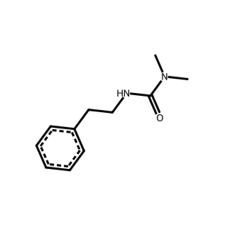 CN(C)C(=O)NCCc1ccccc1